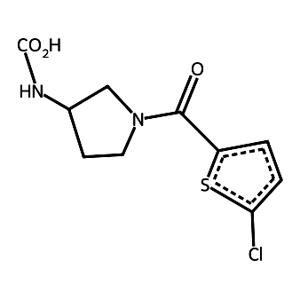 O=C(O)NC1CCN(C(=O)c2ccc(Cl)s2)C1